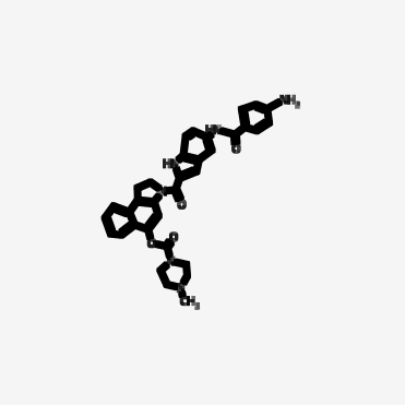 CN1CCN(C(=O)Oc2cc3c(c4ccccc24)CCN3C(=O)c2cc3cc(NC(=O)c4ccc(N)cc4)ccc3[nH]2)CC1